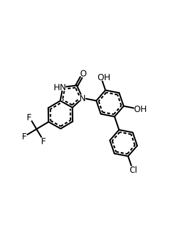 O=c1[nH]c2cc(C(F)(F)F)ccc2n1-c1cc(-c2ccc(Cl)cc2)c(O)cc1O